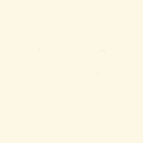 CC(C)(C)OC(=O)C(OC(=O)C12CC3CC(CC(C3)C1C(=O)O)C2)C(=O)OC(C)(C)C